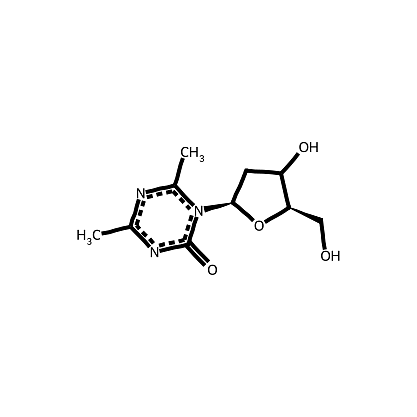 Cc1nc(C)n([C@H]2CC(O)[C@@H](CO)O2)c(=O)n1